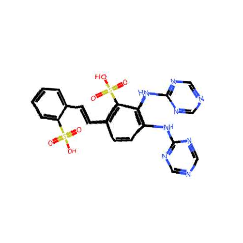 O=S(=O)(O)c1ccccc1C=Cc1ccc(Nc2ncncn2)c(Nc2ncncn2)c1S(=O)(=O)O